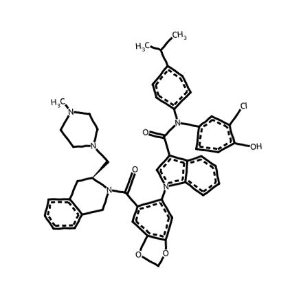 CC(C)c1ccc(N(C(=O)c2cn(-c3cc4c(cc3C(=O)N3Cc5ccccc5C[C@H]3CN3CCN(C)CC3)OCO4)c3ccccc23)c2ccc(O)c(Cl)c2)cc1